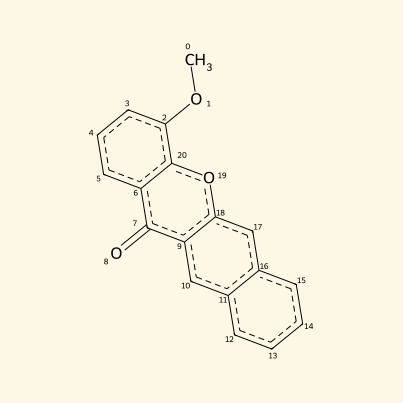 COc1cccc2c(=O)c3cc4ccccc4cc3oc12